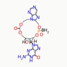 BP1(=O)OCc2nc3cncnc3n2CCOC(=O)OC[C@H]2O[C@@H](n3cnc4c(=O)[nH]c(N)nc43)[C@H](O1)[C@@H]2F